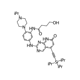 CC(C)N1CCN(c2ccc(Nc3ncc4c(C#C[Si](C(C)C)(C(C)C)C(C)C)cc(=O)[nH]c4n3)cc2NC(=O)CCCO)CC1